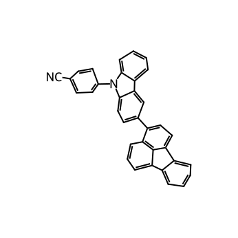 N#Cc1ccc(-n2c3ccccc3c3cc(-c4ccc5c6c(cccc46)-c4ccccc4-5)ccc32)cc1